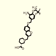 C[C@H](Oc1ccc(COc2ccc3c(c2)OCC(CN2CCC[C@@H](C(=O)O)C2)=C3)cc1N)C(F)(F)F